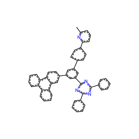 Cc1cccc(-c2ccc(-c3cc(-c4ccc5c6ccccc6c6ccccc6c5c4)cc(-c4nc(-c5ccccc5)nc(-c5ccccc5)n4)c3)cc2)n1